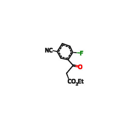 CCOC(=O)CC(=O)c1cc(C#N)ccc1F